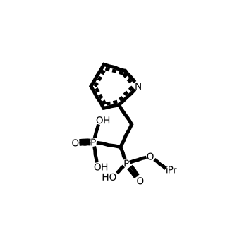 CC(C)OP(=O)(O)C(Cc1ccccn1)P(=O)(O)O